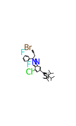 CC(C)[Si](C#Cc1cc(Cl)c2cn(C(CC#CBr)c3cc(F)ccc3F)nc2c1)(C(C)C)C(C)C